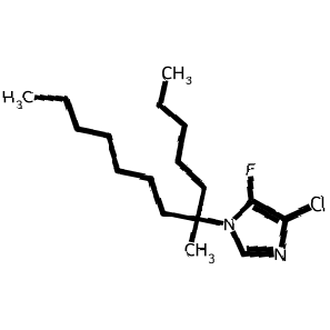 CCCCCCCC(C)(CCCCC)n1cnc(Cl)c1F